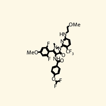 COCCNc1ccc(C(F)(F)F)c(-n2c(=O)c(NC(=O)c3ccc(OC(F)F)cc3)c(-c3c(F)cc(OC)cc3F)n2C)n1